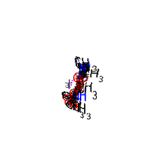 CC[n+]1ccccc1CN(C(C)=O)C(=O)OCC(COC(=O)Nc1cc(OC)c(OC)c(OC)c1)OC.[I-]